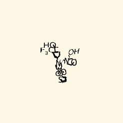 C[C@@](O)(c1ccc(N2CCN(S(=O)(=O)c3cccs3)C[C@H]2CN2CCOC[C@@H]2CO)cc1)C(F)(F)F